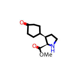 COC(=O)[C@@H]1NCC[C@@H]1C1CCC(=O)CC1